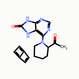 CC(=O)C1CCCCN1c1ncnc2[nH]c(=O)[nH]c12.c1cc2ccc1-2